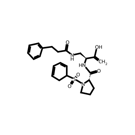 C=C(O)[C@H](CNC(=O)CCc1ccccc1)NC(=O)[C@@H]1CCCN1S(=O)(=O)C1C=CC=CC1